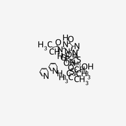 CC(C)C(=O)Nc1nc2c(ncn2[C@@H]2S[C@H](CO)[C@@H](O[Si](C)(C)C(C)(C)C)[C@H]2P(=O)(O)O)c(=O)[nH]1.c1ccncc1.c1ccncc1